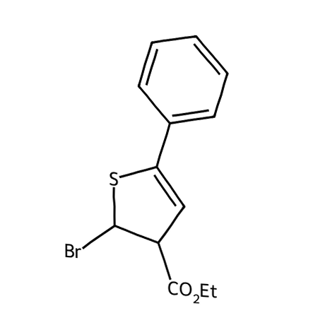 CCOC(=O)C1C=C(c2ccccc2)SC1Br